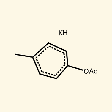 CC(=O)Oc1ccc(C)cc1.[KH]